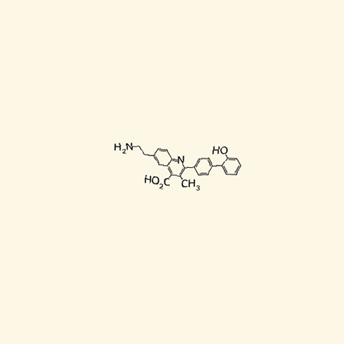 Cc1c(-c2ccc(-c3ccccc3O)cc2)nc2ccc(CCN)cc2c1C(=O)O